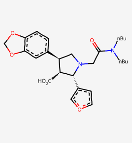 CCCCN(CCCC)C(=O)CN1C[C@H](c2ccc3c(c2)OCO3)[C@H](C(=O)O)[C@H]1c1ccoc1